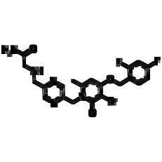 Cc1cc(OCc2ccc(F)cc2F)c(Br)c(=O)n1Cc1cnc(CNCC(N)=O)cn1